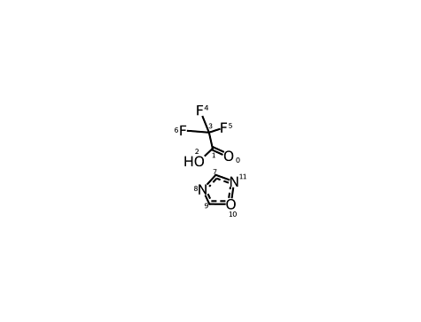 O=C(O)C(F)(F)F.c1ncon1